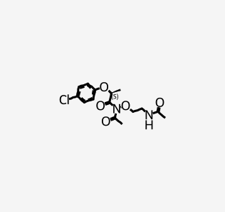 CC(=O)NCCON(C(C)=O)C(=O)[C@H](C)Oc1ccc(Cl)cc1